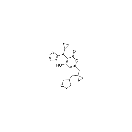 O=c1oc(CC2(CC3CCOC3)CC2)cc(O)c1C(c1cccs1)C1CC1